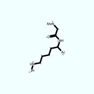 CNCC(=O)NC(CCCCNC(C)C)C(C)=O